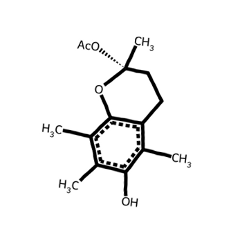 CC(=O)O[C@]1(C)CCc2c(C)c(O)c(C)c(C)c2O1